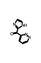 O=C(c1cccnn1)c1ncc[nH]1